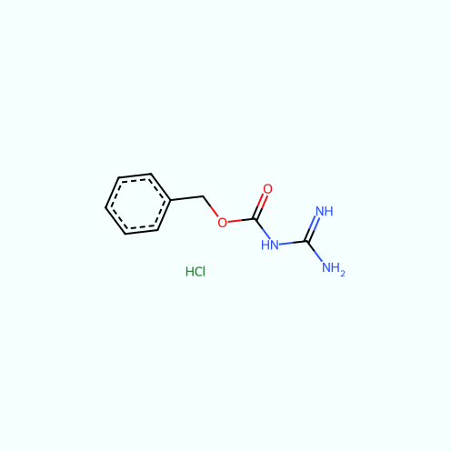 Cl.N=C(N)NC(=O)OCc1ccccc1